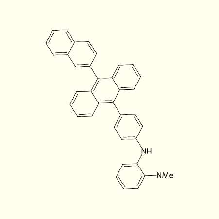 CNc1ccccc1Nc1ccc(-c2c3ccccc3c(-c3ccc4ccccc4c3)c3ccccc23)cc1